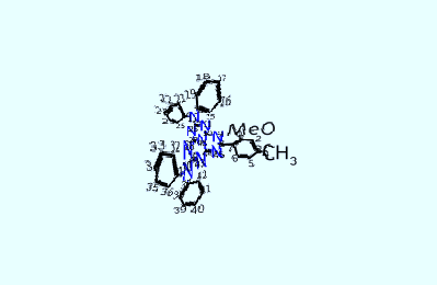 COc1cc(C)ccc1C1=NC2=NC(N(c3ccccc3)c3ccccc3)=NC3=NC(N(c4ccccc4)c4ccccc4)=NC(=N1)N23